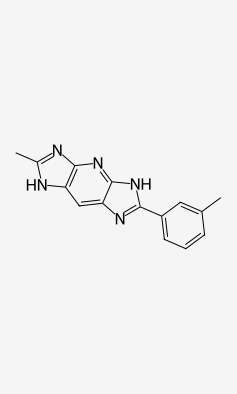 Cc1cccc(-c2nc3cc4[nH]c(C)nc4nc3[nH]2)c1